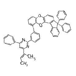 C/C=C(\C)c1cc(-c2ccccc2)nc(-c2cccc(-c3cccc4c3Oc3c(ccc5c3-c3ccccc3C5(c3ccccc3)c3ccccc3)O4)c2)n1